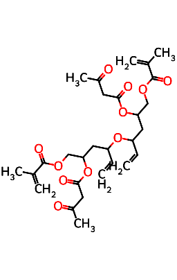 C=CC(CC(COC(=O)C(=C)C)OC(=O)CC(C)=O)OC(C=C)CC(COC(=O)C(=C)C)OC(=O)CC(C)=O